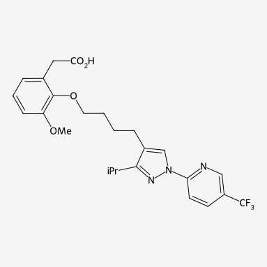 COc1cccc(CC(=O)O)c1OCCCCc1cn(-c2ccc(C(F)(F)F)cn2)nc1C(C)C